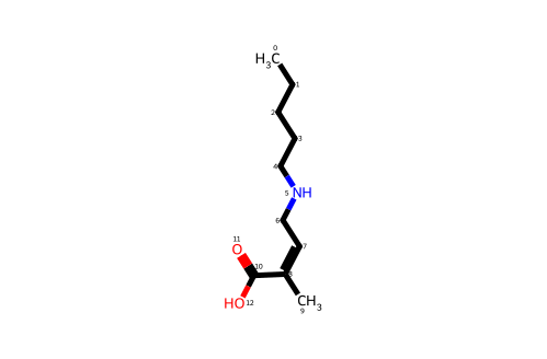 CCCCCNCC=C(C)C(=O)O